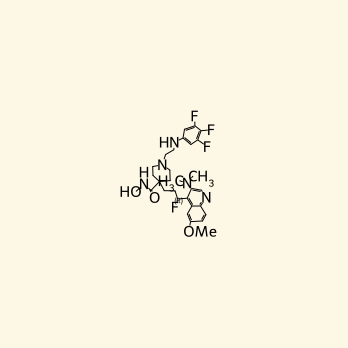 COc1ccc2ncc(N(C)C)c([C@H](F)CCC3(C(=O)NO)CCN(CCNc4cc(F)c(F)c(F)c4)CC3)c2c1